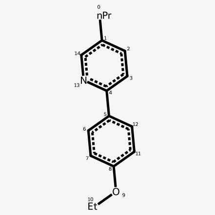 CCCc1ccc(-c2ccc(OCC)cc2)nc1